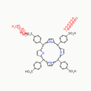 O.O.O.O.O.O.O.O.O.O.O.O.O=S(=O)(O)c1ccc(-c2c3nc(c(-c4ccc(S(=O)(=O)O)cc4)c4ccc([nH]4)c(-c4ccc(S(=O)(=O)O)cc4)c4nc(c(-c5ccc(S(=O)(=O)O)cc5)c5ccc2[nH]5)C=C4)C=C3)cc1